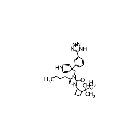 CCCCc1cn(C2CCC2C(C)(C)C)c(=O)n1CC1(c2cccc(-c3nnn[nH]3)c2)C=CNC=C1